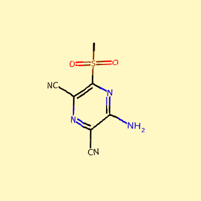 CS(=O)(=O)c1nc(N)c(C#N)nc1C#N